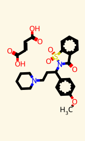 COc1ccc(C(CCN2CCCCC2)N2C(=O)c3ccccc3S2(=O)=O)cc1.O=C(O)C=CC(=O)O